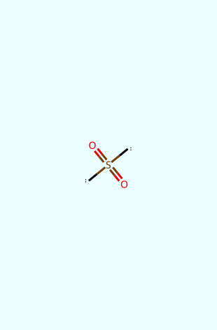 [CH]S([CH])(=O)=O